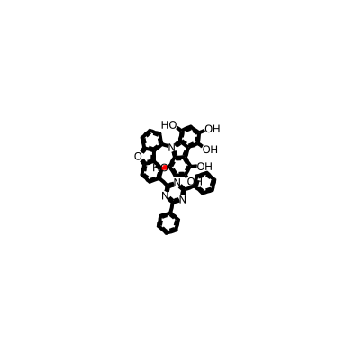 Oc1cc(O)c2c(c1O)c1c(O)c(O)cc(O)c1n2-c1cccc2oc3ccc(-c4nc(-c5ccccc5)nc(-c5ccccc5)n4)cc3c12